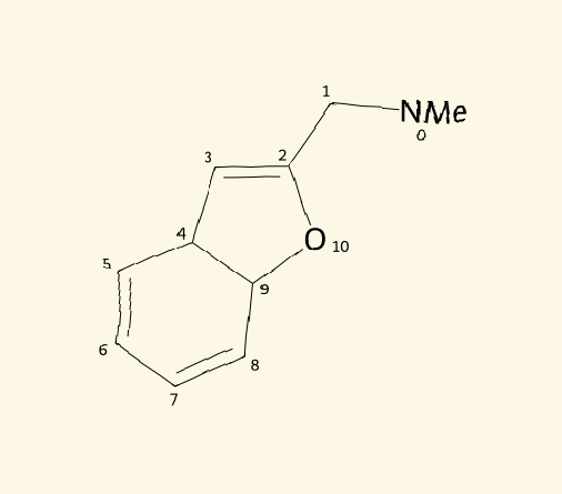 CNCC1=CC2C=CC=CC2O1